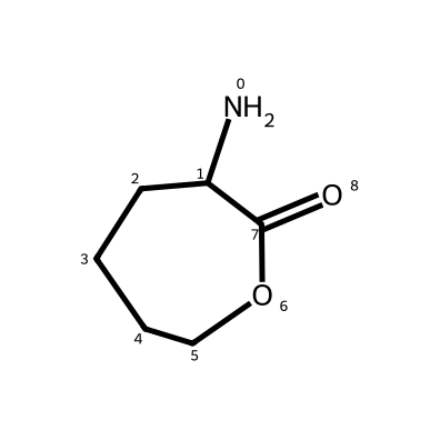 NC1CCCCOC1=O